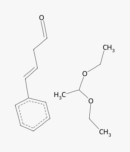 CCOC(C)OCC.O=CC/C=C/c1ccccc1